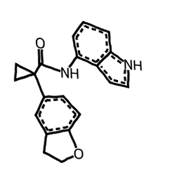 O=C(Nc1cccc2[nH]ccc12)C1(c2ccc3c(c2)CCO3)CC1